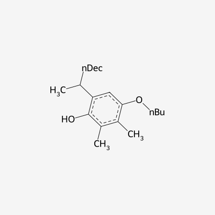 CCCCCCCCCCC(C)c1cc(OCCCC)c(C)c(C)c1O